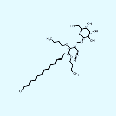 CCCCCCCCCCCC=CC[C@@H](OCCCC)[C@@H](OCCCC)[C@H](CO[C@H]1OC(CO)[C@H](O)[C@H](O)C1O)N=[N+]=[N-]